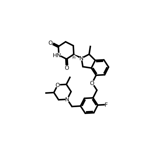 CC1CN(Cc2ccc(F)c(COc3cccc4c3CN([C@@H]3CCC(=O)NC3=O)C4C)c2)CC(C)O1